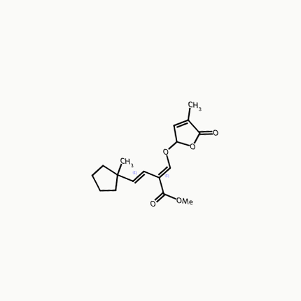 COC(=O)C(/C=C/C1(C)CCCC1)=C/OC1C=C(C)C(=O)O1